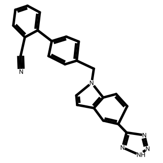 N#Cc1ccccc1-c1ccc(Cn2ccc3cc(-c4nn[nH]n4)ccc32)cc1